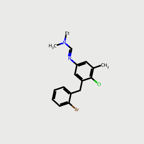 CCN(C)C=Nc1cc(C)c(Cl)c(Cc2ccccc2Br)c1